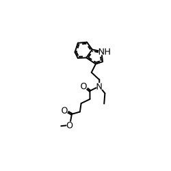 CCN(CCc1c[nH]c2ccccc12)C(=O)CCCC(=O)OC